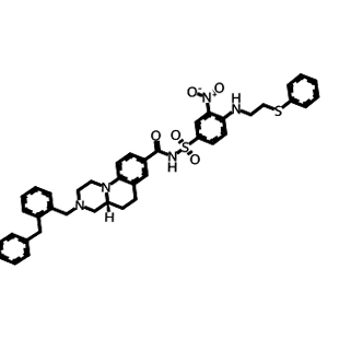 O=C(NS(=O)(=O)c1ccc(NCCSc2ccccc2)c([N+](=O)[O-])c1)c1ccc2c(c1)CC[C@@H]1CN(Cc3ccccc3Cc3ccccc3)CCN21